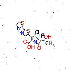 C[C@@H](O)[C@H]1C(=O)N2C(C(=O)O)=C(C3=CN4CN5CCSC5=C4S3)[C@H](C)[C@H]12